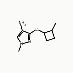 CC1CCC1Oc1nn(C)cc1N